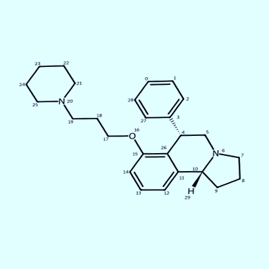 c1ccc([C@@H]2CN3CCC[C@@H]3c3cccc(OCCCN4CCCCC4)c32)cc1